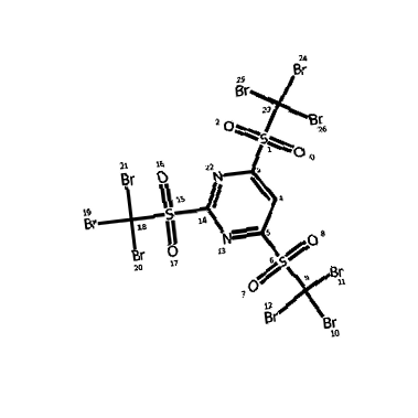 O=S(=O)(c1cc(S(=O)(=O)C(Br)(Br)Br)nc(S(=O)(=O)C(Br)(Br)Br)n1)C(Br)(Br)Br